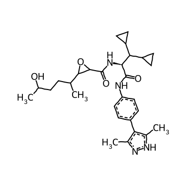 Cc1n[nH]c(C)c1-c1ccc(NC(=O)[C@@H](NC(=O)C2OC2C(C)CCC(C)O)C(C2CC2)C2CC2)cc1